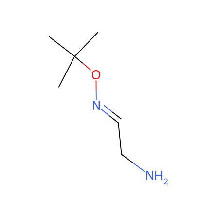 CC(C)(C)ON=CCN